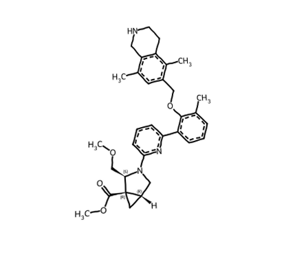 COC[C@H]1N(c2cccc(-c3cccc(C)c3OCc3cc(C)c4c(c3C)CCNC4)n2)C[C@@H]2C[C@@]21C(=O)OC